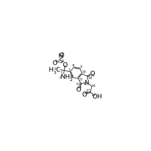 CC(N)(O[SH](=O)=O)c1ccc2c(c1)C(=O)N(CC(=O)O)C2=O